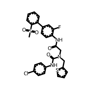 CS(=O)(=O)c1ccccc1-c1ccc(NC(=O)CN(Cc2cccs2)C(=O)Nc2ccc(Cl)cc2)c(F)c1